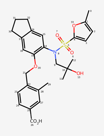 Cc1ccc(S(=O)(=O)N(CC(C)(C)O)c2cc3c(cc2OCc2ccc(C(=O)O)cc2C)CCC3)o1